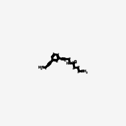 NCC#Cc1cccc(C#CCNC(=O)CCCN)c1